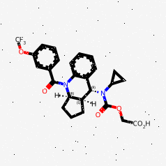 O=C(O)COC(=O)N(C1CC1)[C@H]1c2ccccc2N(C(=O)c2cccc(OC(F)(F)F)c2)[C@@H]2CCC[C@@H]21